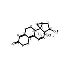 C[C@]12C=CC3=C4CCC(=O)C=C4CC[C@H]3C13CC3CC2O